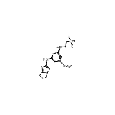 CS(=O)(=O)CCNc1cc(S(=O)(=O)O)cc(Nc2nc3c(s2)CCC3)n1